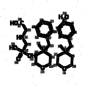 C[N+]1(Cc2ccccc2)CCOCC1.C[N+]1(Cc2ccccc2)CCOCC1.O.O=C(O)CNCP(=O)(O)O